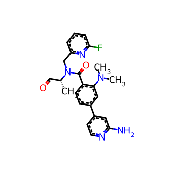 C[C@H](C=O)N(Cc1cccc(F)n1)C(=O)c1ccc(-c2ccnc(N)c2)cc1N(C)C